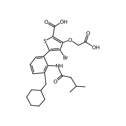 CC(C)CC(=O)Nc1c(CC2CCCCC2)cccc1-c1sc(C(=O)O)c(OCC(=O)O)c1Br